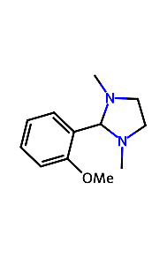 COc1ccccc1C1N(C)CCN1C